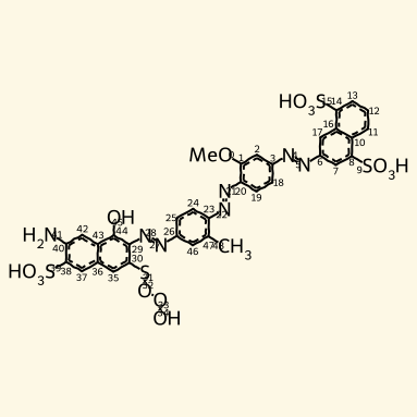 COc1cc(N=Nc2cc(S(=O)(=O)O)c3cccc(S(=O)(=O)O)c3c2)ccc1N=Nc1ccc(N=Nc2c(SOOO)cc3cc(S(=O)(=O)O)c(N)cc3c2O)cc1C